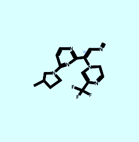 C=N/C=C(/c1nccc(N2CCC(C)C2)n1)N1C=C(C(F)(F)F)N=CC1